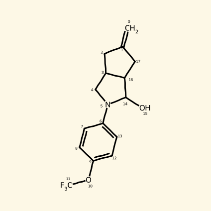 C=C1CC2CN(c3ccc(OC(F)(F)F)cc3)C(O)C2C1